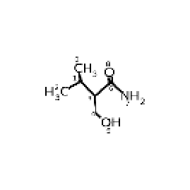 CC(C)C(CO)C(N)=O